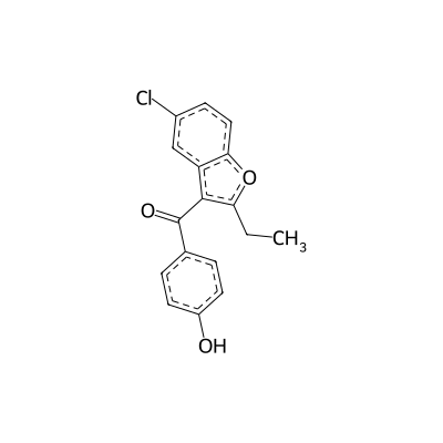 CCc1oc2ccc(Cl)cc2c1C(=O)c1ccc(O)cc1